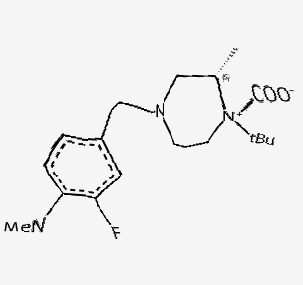 CNc1ccc(CN2CC[N+](C(=O)[O-])(C(C)(C)C)[C@@H](C)C2)cc1F